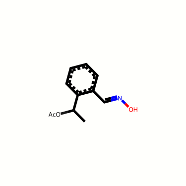 CC(=O)OC(C)c1ccccc1/C=N/O